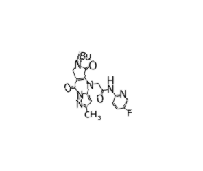 CC[C@H](C)N1Cc2c(n(CC(=O)Nc3ccc(F)cn3)c3cc(C)nn3c2=O)C1=O